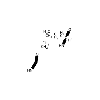 C.C.C.C.C.C.F.N=C=O.N=C=O